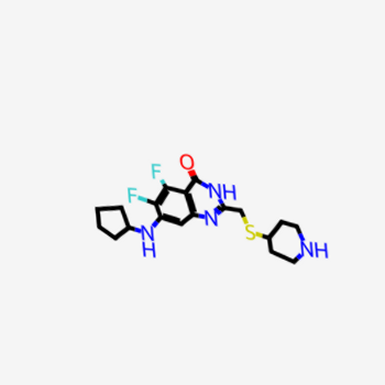 O=c1[nH]c(CSC2CCNCC2)nc2cc(NC3CCCC3)c(F)c(F)c12